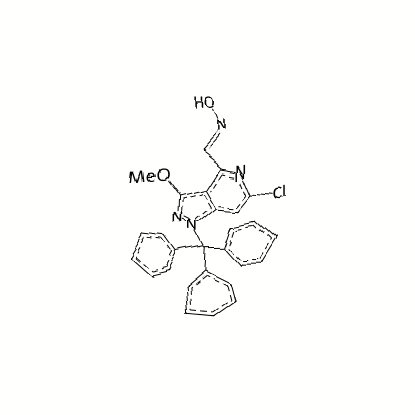 COc1nn(C(c2ccccc2)(c2ccccc2)c2ccccc2)c2cc(Cl)nc(/C=N/O)c12